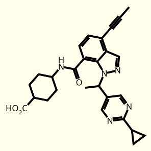 CC#Cc1ccc(C(=O)NC2CCC(C(=O)O)CC2)c2c1cnn2C(C)c1cnc(C2CC2)nc1